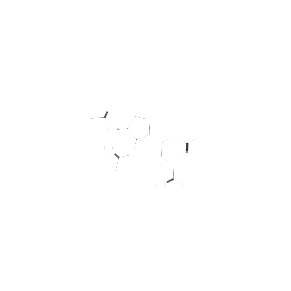 CC(=O)OCC(OC(C)=O)[C@H]1OC[C@H](OC(C)=O)C1OC(C)=O